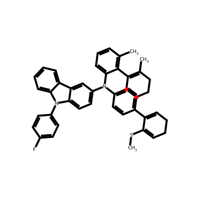 CSC1=CCCC=C1c1ccc(N(c2ccc3c(c2)c2ccccc2n3-c2ccc(F)cc2)c2cccc(C)c2C2=C(C)CCC=C2)cc1